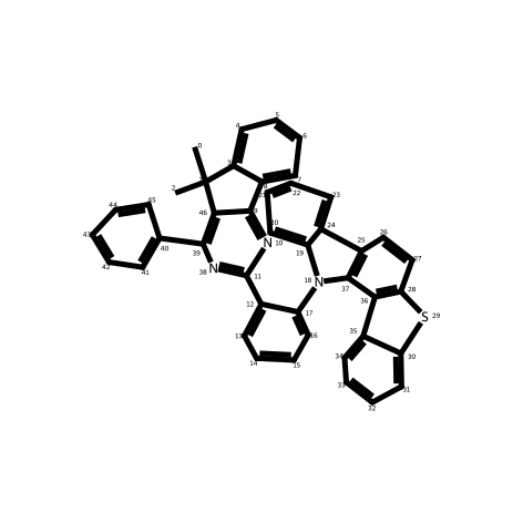 CC1(C)c2ccccc2-c2nc(-c3ccccc3-n3c4ccccc4c4ccc5sc6ccccc6c5c43)nc(-c3ccccc3)c21